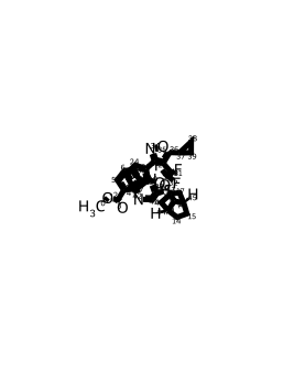 COC(=O)c1cccc2nc(SC3[C@@H]4CC[C@H]3CC(OCc3c(-c5ccccc5OC(F)(F)F)noc3C3CC3)C4)cnc12